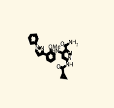 COc1c(Nc2cc(NC(=O)C3CC3)nnc2C(N)=O)cccc1-c1ccn(-c2ccccc2)n1